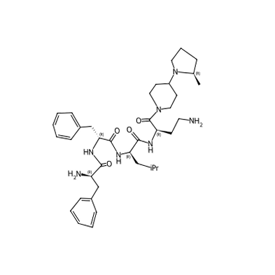 CC(C)C[C@@H](NC(=O)[C@@H](Cc1ccccc1)NC(=O)[C@H](N)Cc1ccccc1)C(=O)N[C@H](CCN)C(=O)N1CCC(N2CCC[C@H]2C)CC1